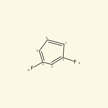 Fc1[c]c(F)ccc1